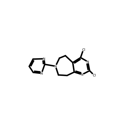 Clc1nc(Cl)c2c(n1)CCN(c1ncccn1)CC2